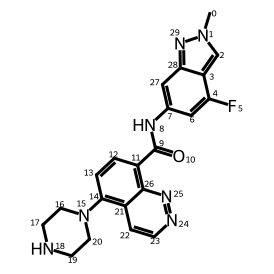 Cn1cc2c(F)cc(NC(=O)c3ccc(N4CCNCC4)c4ccnnc34)cc2n1